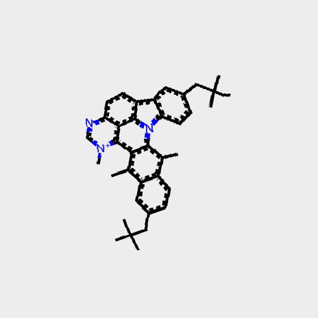 Cc1c2cc(CC(C)(C)C)ccc2c(C)c2c1c1c3c(ccc4c5cc(CC(C)(C)C)ccc5n2c43)nc[n+]1C